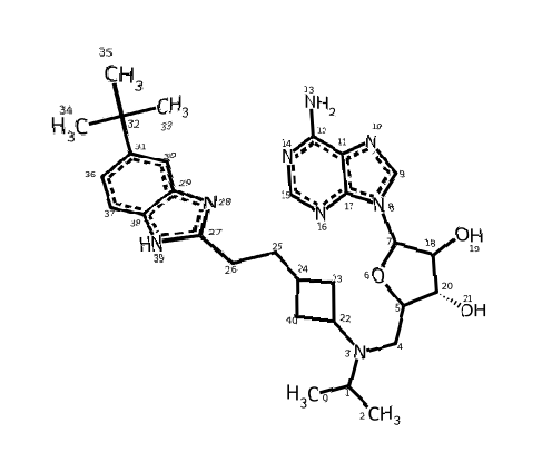 CC(C)N(CC1OC(n2cnc3c(N)ncnc32)C(O)[C@@H]1O)C1CC(CCc2nc3cc(C(C)(C)C)ccc3[nH]2)C1